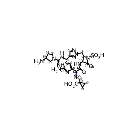 N=C(NCc1cnn(CC2C(NC(=O)/C(=N\OC3(C(=O)O)CC3)c3csc(N)n3)C(=O)N2S(=O)(=O)O)n1)N1CCC(N)C1